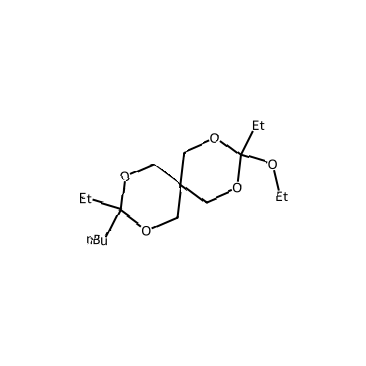 CCCCC1(CC)OCC2(CO1)COC(CC)(OCC)OC2